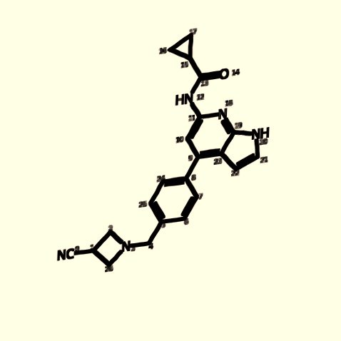 N#CC1CN(Cc2ccc(-c3cc(NC(=O)C4CC4)nc4[nH]ccc34)cc2)C1